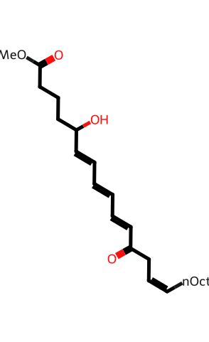 CCCCCCCC/C=C\CC(=O)/C=C/C=C/C=C/C(O)CCCC(=O)OC